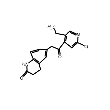 CCc1cnc(Cl)cc1C(=O)Cc1ccc2c(c1)CCC(=O)N2